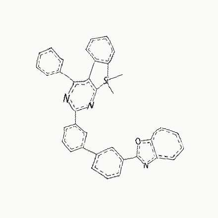 C[Si]1(C)c2ccccc2-c2c(-c3ccccc3)nc(-c3cccc(-c4cccc(-c5nc6ccccc6o5)c4)c3)nc21